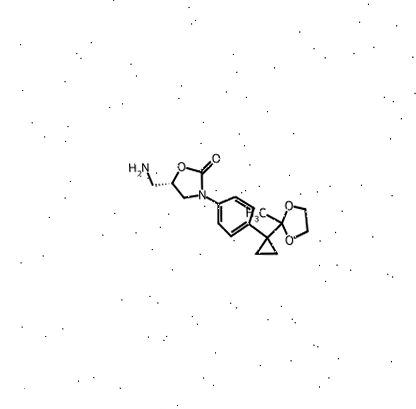 CC1(C2(c3ccc(N4C[C@H](CN)OC4=O)cc3)CC2)OCCO1